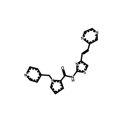 O=C(Nc1nc(C=Cc2cnccn2)cs1)c1cccn1Cc1ccncc1